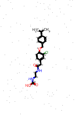 CC(C)c1ccc(COc2ccc(CC(=O)NCCNC(=O)O)cc2Cl)cc1